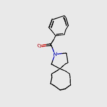 O=C(c1ccccc1)N1CCC2(CCCCC2)C1